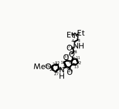 CCN(CC)CCNC(=O)COc1cccc2c1C(=O)C=C(Nc1ccc(OC)cc1)C2=O